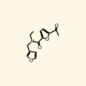 CCN(Cc1ccoc1)C(=O)c1ccc(C(C)=O)o1